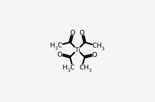 C[C](=O)[Ti]([C](C)=O)([C](C)=O)[C](C)=O